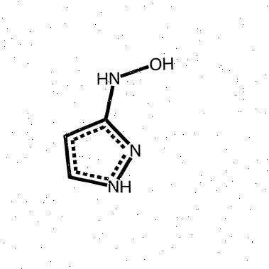 ONc1cc[nH]n1